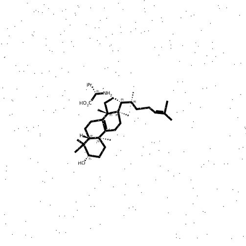 CC(C)=CCC[C@@H](C)[C@H]1CC[C@@]2(C)C3=C(CC[C@]12C)[C@@]1(C)CC[C@H](O)C(C)(C)[C@@H]1CC3.CC(C)[C@H](N)C(=O)O